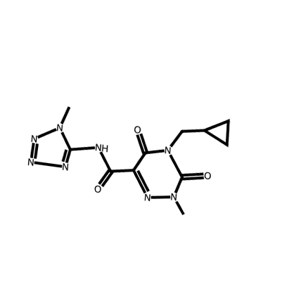 Cn1nnnc1NC(=O)c1nn(C)c(=O)n(CC2CC2)c1=O